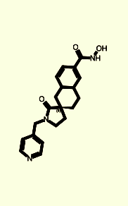 O=C(NO)C1=CC2CC[C@]3(CCN(Cc4ccncc4)C3=O)CC2C=C1